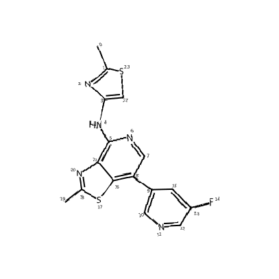 Cc1nc(Nc2ncc(-c3cncc(F)c3)c3sc(C)nc23)cs1